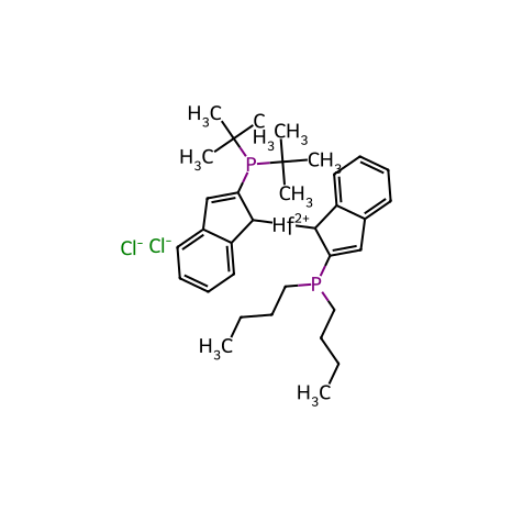 CCCCP(CCCC)C1=Cc2ccccc2[CH]1[Hf+2][CH]1C(P(C(C)(C)C)C(C)(C)C)=Cc2ccccc21.[Cl-].[Cl-]